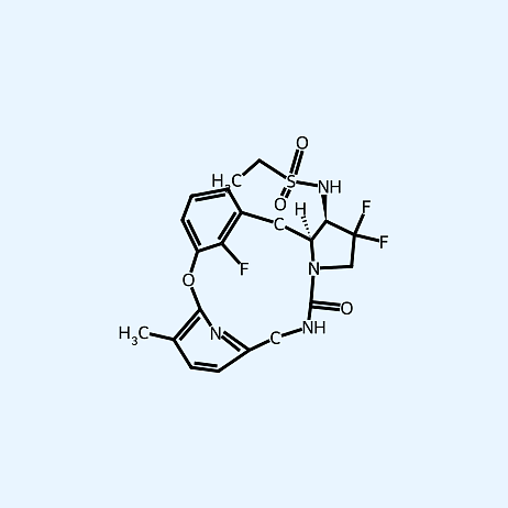 CCS(=O)(=O)N[C@@H]1[C@@H]2Cc3cccc(c3F)Oc3nc(ccc3C)CNC(=O)N2CC1(F)F